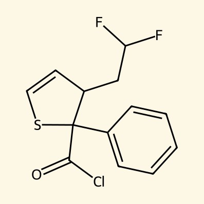 O=C(Cl)C1(c2ccccc2)SC=CC1CC(F)F